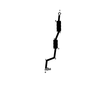 CCCCCCC#CC#C[O]